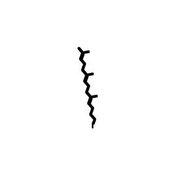 CC(C)=CCC/C(C)=C/CC/C(C)=C/CCCI